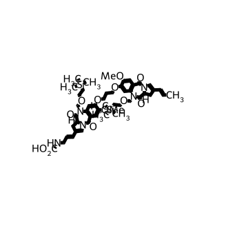 C/C=C/C1=CN2C(=O)c3cc(OC)c(OCCCOc4cc5c(cc4OC)C(=O)N4C=C(/C=C/CNC(=O)O)C[C@H]4C(=O)N5COCC[Si](C)(C)C)cc3N(COCC[Si](C)(C)C)C(=O)[C@@H]2C1